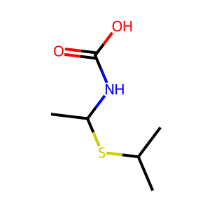 CC(C)SC(C)NC(=O)O